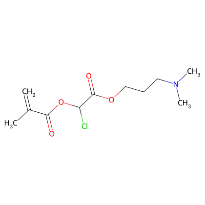 C=C(C)C(=O)OC(Cl)C(=O)OCCCN(C)C